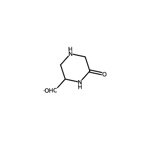 O=[C]C1CNCC(=O)N1